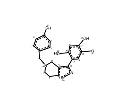 Oc1ccc(CN2CCc3[nH]nc(-c4cc(Cl)c(O)cc4O)c3C2)cc1